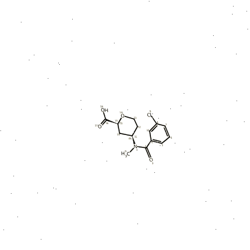 CN(C(=O)c1cccc(Cl)c1)[C@@H]1CCO[C@H](C(=O)O)C1